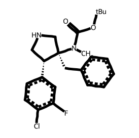 CN(C(=O)OC(C)(C)C)[C@]1(Cc2ccccc2)CNC[C@H]1c1ccc(Cl)c(F)c1